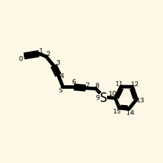 C#CCC#CCC#CCSc1ccccc1